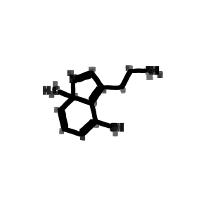 CC12C=CC=C(O)C1=C(CCN)C=N2